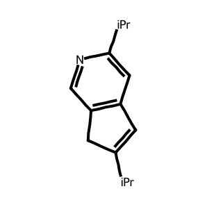 CC(C)C1=Cc2cc(C(C)C)ncc2C1